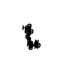 COc1cc(-c2cn(C)c(=O)c3cnccc23)cc(OC)c1CN(C)CCCN1CCC(Oc2ccc3c(c2)C(=O)N(C2CCC(=O)NC2=O)C3=O)CC1